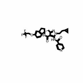 O=C(Nc1c2c(nn1CCC1CC1)C[C@]1(CCc3cc(OCC(F)(F)F)ccc31)NC2=O)c1ccncc1